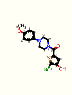 COc1ccc(N2CCN(C(=O)c3cc(O)c(Br)s3)CC2)cc1